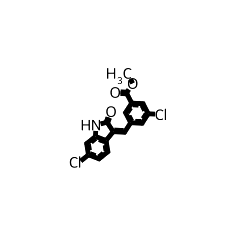 COC(=O)c1cc(Cl)cc(C=C2C(=O)Nc3cc(Cl)ccc32)c1